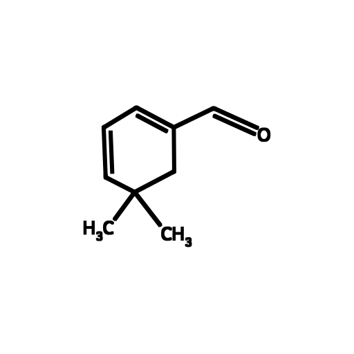 CC1(C)C=CC=C(C=O)C1